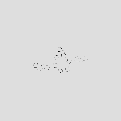 c1ccc(-c2nc(-c3cccc(-c4cccc(-c5nc(-c6ccc7c(c6)oc6ccccc67)nc(-c6ccc7c(c6)oc6ccccc67)n5)c4)c3)cc(-c3ccc4c(c3)oc3c5ccccc5ccc43)n2)cc1